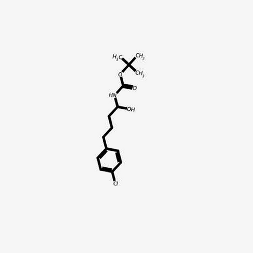 CC(C)(C)OC(=O)N[C](O)CCCc1ccc(Cl)cc1